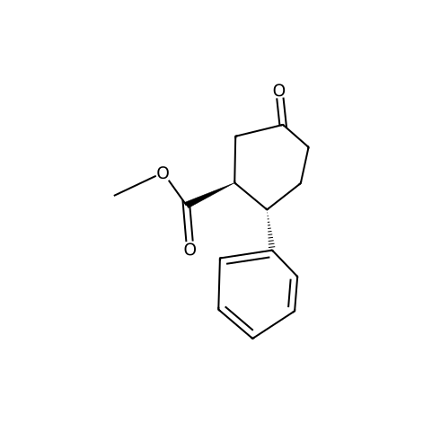 COC(=O)[C@H]1CC(=O)CC[C@@H]1c1ccccc1